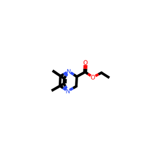 CCOC(=O)C1CN2CCN1C(C)=C2C